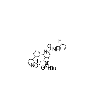 CC(C)(C)[S+]([O-])N1Cc2cc(C(=O)NCc3ccccc3F)nc(-c3cccc(-c4cccnc4)c3)c2[C@H]1CCO